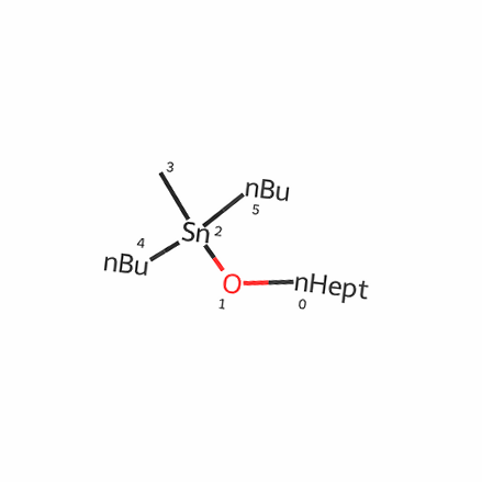 CCCCCCC[O][Sn]([CH3])([CH2]CCC)[CH2]CCC